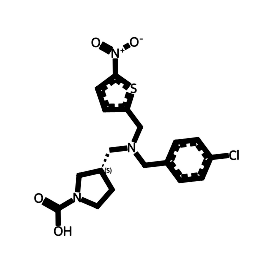 O=C(O)N1CC[C@@H](CN(Cc2ccc(Cl)cc2)Cc2ccc([N+](=O)[O-])s2)C1